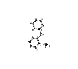 Nc1ncccc1Oc1ccccc1